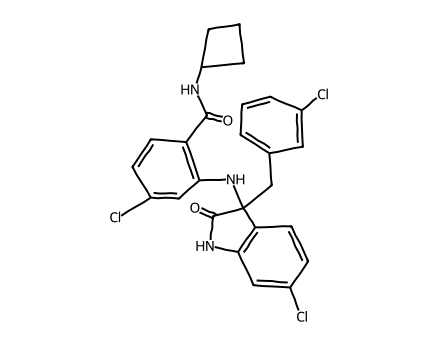 O=C(NC1CCC1)c1ccc(Cl)cc1NC1(Cc2cccc(Cl)c2)C(=O)Nc2cc(Cl)ccc21